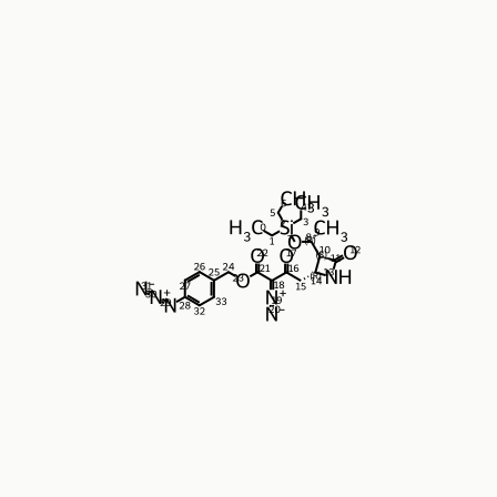 CC[Si](CC)(CC)O[C@H](C)[C@H]1C(=O)N[C@@H]1CC(=O)C(=[N+]=[N-])C(=O)OCc1ccc(N=[N+]=[N-])cc1